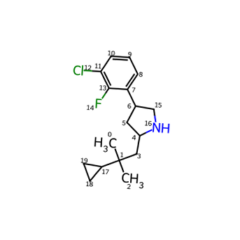 CC(C)(CC1CC(c2cccc(Cl)c2F)CN1)C1CC1